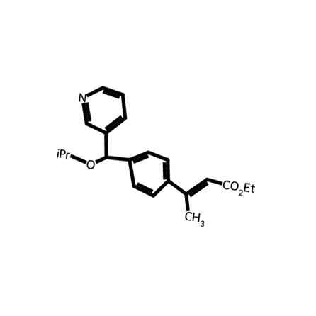 CCOC(=O)C=C(C)c1ccc(C(OC(C)C)c2cccnc2)cc1